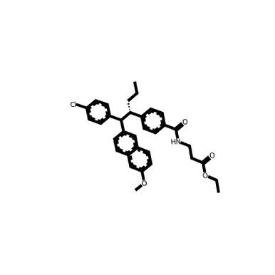 CCC[C@H](c1ccc(C(=O)NCCC(=O)OCC)cc1)C(c1ccc(Cl)cc1)c1ccc2cc(OC)ccc2c1